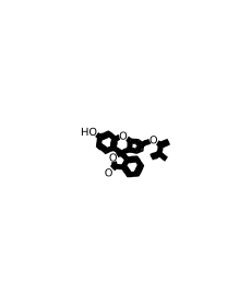 C=C(C)C(=C)OC1=CC2Oc3cc(O)ccc3C3(OC(=O)c4ccccc43)C2C=C1